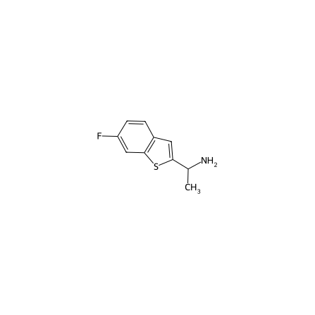 CC(N)c1cc2ccc(F)cc2s1